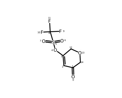 O=C1C=C(OS(=O)(=O)C(F)(F)F)COC1